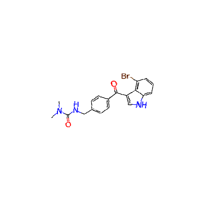 CN(C)C(=O)NCc1ccc(C(=O)c2c[nH]c3cccc(Br)c23)cc1